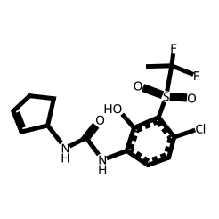 CC(F)(F)S(=O)(=O)c1c(Cl)ccc(NC(=O)NC2C=CCC2)c1O